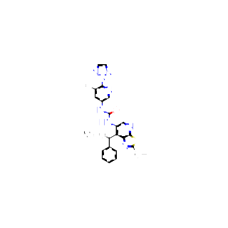 COC(c1ccccc1)c1c(NC(=O)Nc2cnc(-n3nccn3)c(C(F)(F)F)c2)cnc2sc(C)nc12